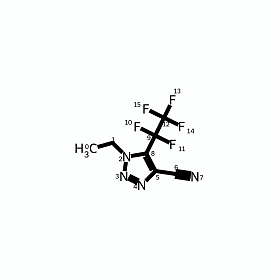 CCn1nnc(C#N)c1C(F)(F)C(F)(F)F